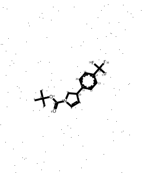 CC(C)(C)OC(=O)N1C=CC(c2ccc(C(F)(F)F)cc2)C1